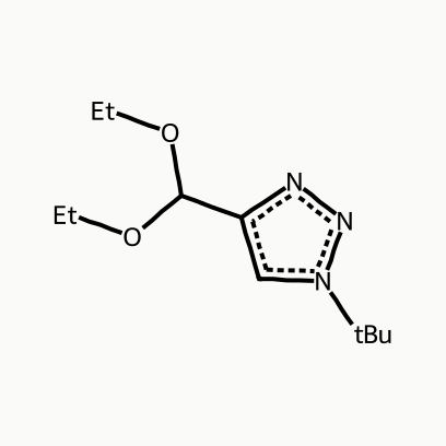 CCOC(OCC)c1cn(C(C)(C)C)nn1